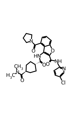 CN(C)C(=O)[C@H]1CC[C@H](C(=O)Nc2c(C(=O)Nc3ccc(Cl)cn3)oc3cccc(C(=O)N4CCCC4)c23)CC1